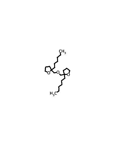 CCCCCCC1(COCC2(CCCCCC)CCCO2)CCCO1